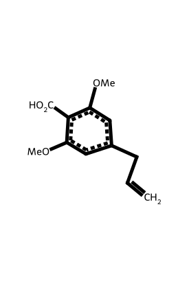 C=CCc1cc(OC)c(C(=O)O)c(OC)c1